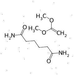 C=C(OC)OC.NC(=O)CCCCC(N)=O